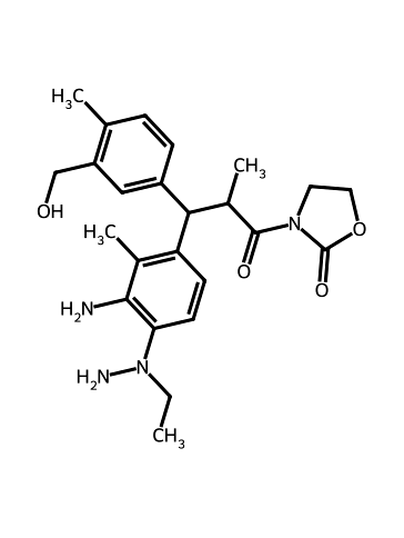 CCN(N)c1ccc(C(c2ccc(C)c(CO)c2)C(C)C(=O)N2CCOC2=O)c(C)c1N